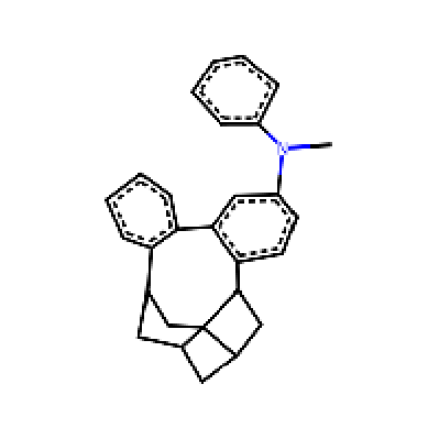 CN(c1ccccc1)c1ccc2c(c1)-c1ccccc1C1CC3CC4CC2C34C1